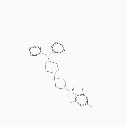 Cc1cc(C)c(S(=O)(=O)N2CCC(C)(N3CCC(N(c4ccccc4)c4ccccc4)CC3)CC2)c(C)c1